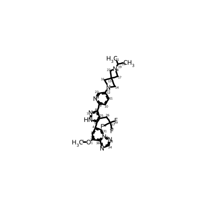 COc1cc(-c2[nH]nc(-c3ccc(N4CC5(C4)CN(C(C)C)C5)cn3)c2CC(F)(F)F)cn2ncnc12